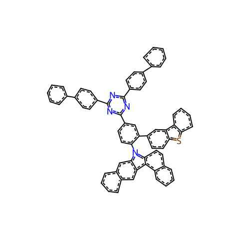 c1ccc(-c2ccc(-c3nc(-c4ccc(-c5ccccc5)cc4)nc(-c4ccc(-n5c6cc7ccccc7cc6c6c7ccccc7ccc65)c(-c5ccc6sc7ccccc7c6c5)c4)n3)cc2)cc1